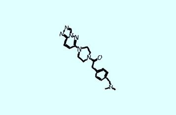 CN(C)Cc1ccc(CC(=O)N2CCN(c3ccc4nncn4n3)CC2)cc1